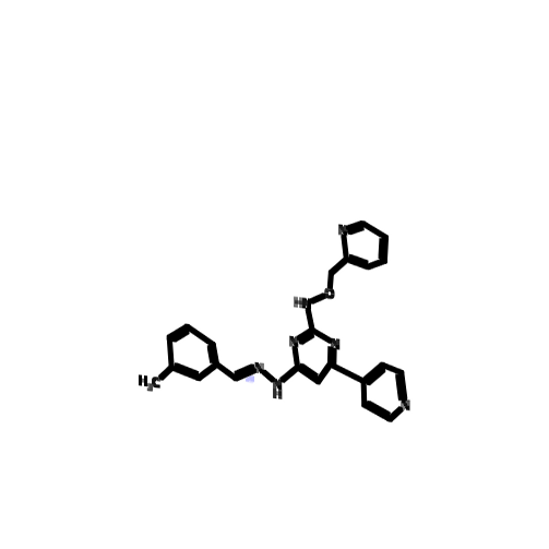 Cc1cccc(/C=N/Nc2cc(-c3ccncc3)nc(NOCc3ccccn3)n2)c1